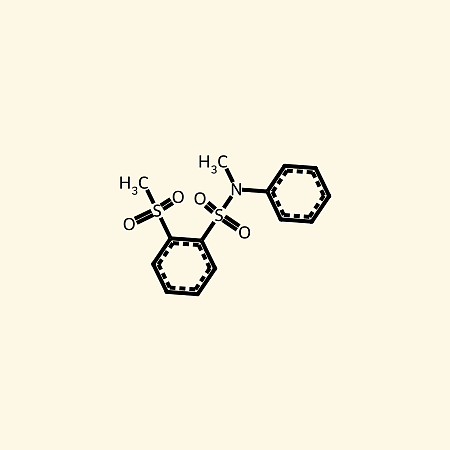 CN(c1ccccc1)S(=O)(=O)c1ccccc1S(C)(=O)=O